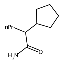 CCCC(C(N)=O)C1CCCC1